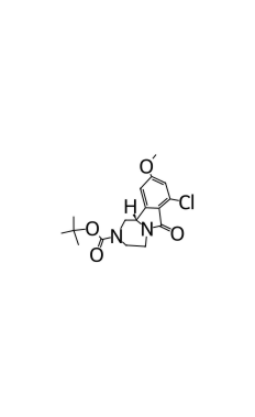 COc1cc(Cl)c2c(c1)[C@H]1CN(C(=O)OC(C)(C)C)CCN1C2=O